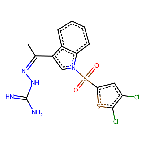 C/C(=N/NC(=N)N)c1cn(S(=O)(=O)c2cc(Cl)c(Cl)s2)c2ccccc12